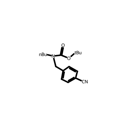 CCCCN(Cc1ccc(C#N)cc1)C(=O)OC(C)(C)C